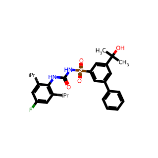 CC(C)c1cc(F)cc(C(C)C)c1NC(=O)NS(=O)(=O)c1cc(-c2ccccc2)cc(C(C)(C)O)c1